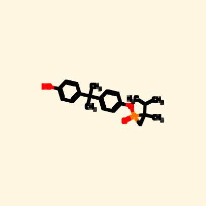 CC(C)C1(C)CP1(=O)Oc1ccc(C(C)(C)c2ccc(O)cc2)cc1